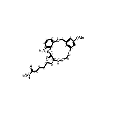 COc1cc2cc(c1)COc1cccc(N)c1NC(=O)[C@H](CCCCCC(=O)NO)NCCC2